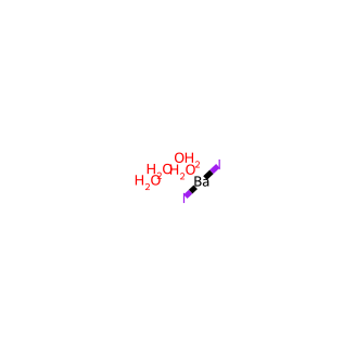 O.O.O.O.[I][Ba][I]